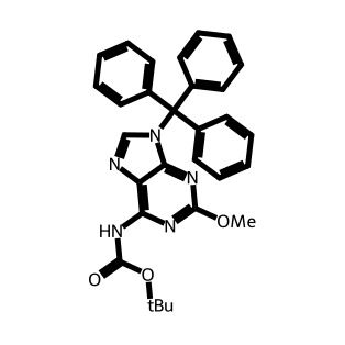 COc1nc(NC(=O)OC(C)(C)C)c2ncn(C(c3ccccc3)(c3ccccc3)c3ccccc3)c2n1